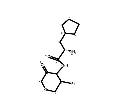 CCC1COCC(=O)C1NC(=O)[C@@H](N)CC1CCCC1